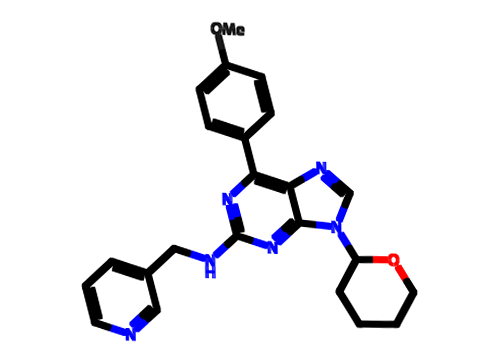 COc1ccc(-c2nc(NCc3cccnc3)nc3c2ncn3C2CCCCO2)cc1